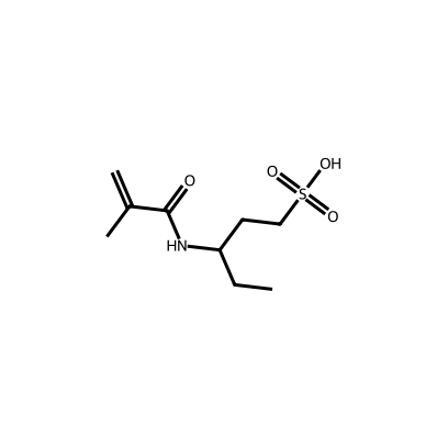 C=C(C)C(=O)NC(CC)CCS(=O)(=O)O